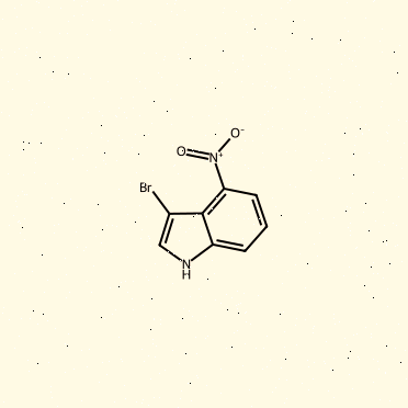 O=[N+]([O-])c1cccc2[nH]cc(Br)c12